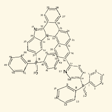 S=P(c1ccccc1)(c1ccccc1)c1ccc(-c2ccc3c(ccc4c5ccccc5c5nc6ccc(P(=S)(c7ccccc7)c7ccccc7)cc6n5c34)c2)nc1